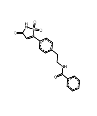 O=C1C=C(c2ccc(CCNC(=O)c3ccccc3)cc2)S(=O)(=O)N1